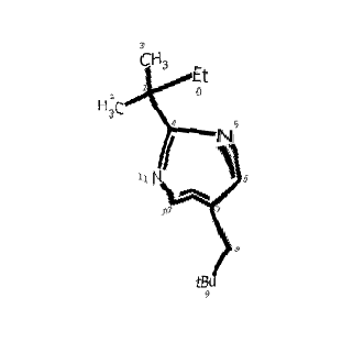 CCC(C)(C)c1ncc(CC(C)(C)C)cn1